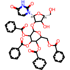 O=C(OCC1OC(OC2C(O)[C@@H](CO)O[C@H]2n2ccc(=O)[nH]c2=O)C(OC(=O)c2ccccc2)C(OC(=O)c2ccccc2)C1OC(=O)c1ccccc1)c1ccccc1